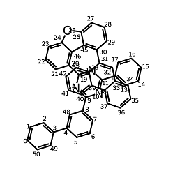 c1ccc(-c2cccc(-c3nc(-c4ccccc4)nc(-c4cccc5oc6cccc(-c7cc8ccccc8c8ccccc78)c6c45)n3)c2)cc1